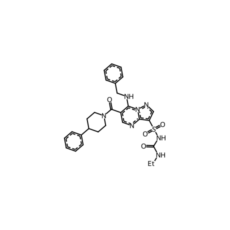 CCNC(=O)NS(=O)(=O)c1cnn2c(NCc3ccccc3)c(C(=O)N3CCC(c4ccccc4)CC3)cnc12